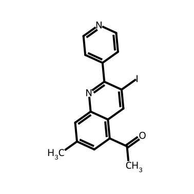 CC(=O)c1cc(C)cc2nc(-c3ccncc3)c(I)cc12